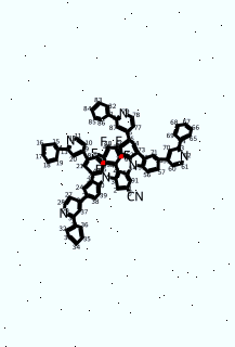 N#Cc1cc(-n2c3ccc(-c4ccnc(-c5ccccc5)c4)cc3c3cc(-c4ccnc(-c5ccccc5)c4)ccc32)c(-c2c(F)c(F)c(F)c(F)c2F)c(-n2c3ccc(-c4ccnc(-c5ccccc5)c4)cc3c3cc(-c4ccnc(-c5ccccc5)c4)ccc32)c1